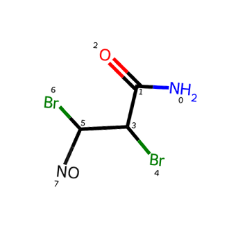 NC(=O)C(Br)C(Br)N=O